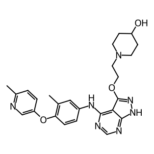 Cc1ccc(Oc2ccc(Nc3ncnc4[nH]nc(OCCN5CCC(O)CC5)c34)cc2C)cn1